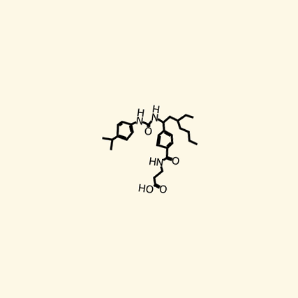 CCCCC(CC)CC(NC(=O)Nc1ccc(C(C)C)cc1)c1ccc(C(=O)NCCC(=O)O)cc1